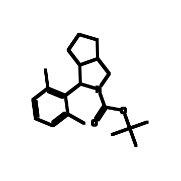 Cc1cccc(C)c1C1C2CCCC2CN1C(=O)OC(C)(C)C